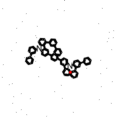 c1ccc(-c2cccc(-c3cccc4c3c3cc(-c5ccc(-c6ccc7c(c6)c6ccccc6n7-c6ccc(-c7ccccc7)cc6-c6ccccc6)cc5)ccc3n4-c3cccc(-c4ccccc4)c3)c2)cc1